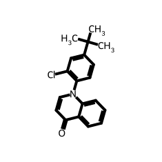 CC(C)(C)c1ccc(-n2ccc(=O)c3ccccc32)c(Cl)c1